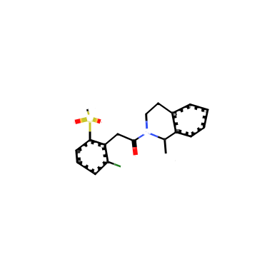 CC1c2ccccc2CCN1C(=O)Cc1c(Cl)cccc1S(C)(=O)=O